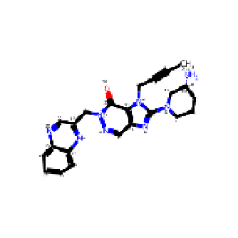 CC#CCn1c(N2CCC[C@@H](N)C2)nc2cnn(Cc3cnc4ccccc4n3)c(=O)c21